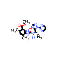 COC(=O)c1cc(NC(=O)N[C@@H](C)c2ncnn2-c2ncccn2)c(C)cc1C